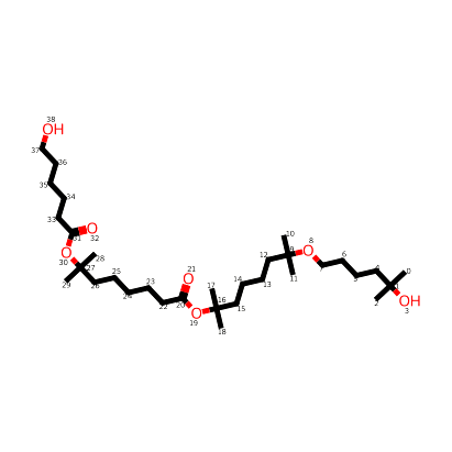 CC(C)(O)CCCCOC(C)(C)CCCCC(C)(C)OC(=O)CCCCCC(C)(C)OC(=O)CCCCCO